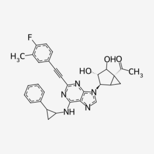 CC(=O)[C@]12CC1[C@@H](n1cnc3c(NC4CC4c4ccccc4)nc(C#Cc4ccc(F)c(C)c4)nc31)[C@H](O)C2O